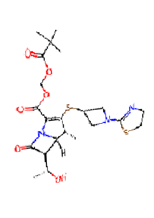 C[C@@H](O)[C@H]1C(=O)N2C(C(=O)OCOC(=O)C(C)(C)C)=C(SC3CN(C4=NCCS4)C3)[C@H](C)[C@H]12